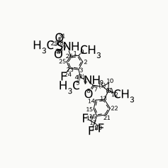 Cc1cc([C@@H](C)NC(=O)[C@H]2C[C@]2(C)c2ccc(C(F)(F)F)cc2)c(F)cc1NS(C)(=O)=O